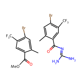 COC(=O)c1cc(C(F)(F)F)c(Br)cc1C.Cc1cc(Br)c(C(F)(F)F)cc1C(=O)N=C(N)N